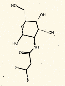 O=C(CC(F)F)N[C@H]1C(O)O[C@H](CO)[C@H](O)[C@@H]1O